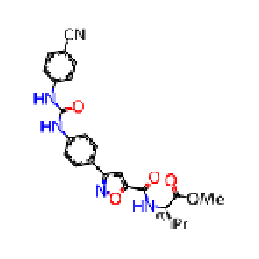 COC(=O)[C@H](NC(=O)c1cc(-c2ccc(NC(=O)Nc3ccc(C#N)cc3)cc2)no1)C(C)C